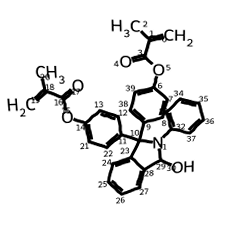 C=C(C)C(=O)Oc1ccc(C2(c3ccc(OC(=O)C(=C)C)cc3)c3ccccc3C(O)N2c2ccccc2)cc1